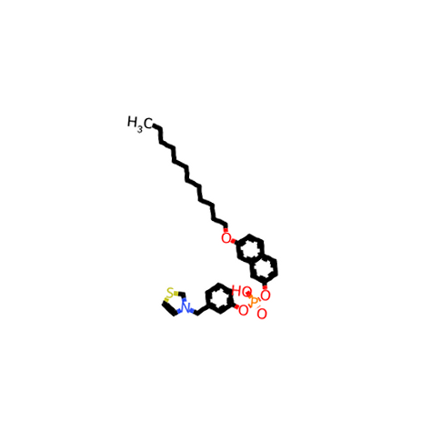 CCCCCCCCCCCCOc1ccc2ccc(OP(=O)(O)Oc3cccc(CN4C=CSC4)c3)cc2c1